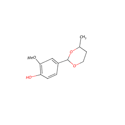 COc1cc(C2OCCC(C)O2)ccc1O